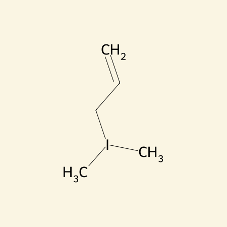 C=CCI(C)C